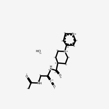 CC(=O)NCC(=C=O)NC(=O)C1CCN(c2ccncc2)CC1.Cl